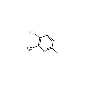 CC1=[N+]C(C(F)(F)F)=C(C(F)(F)F)[C]=[C]1